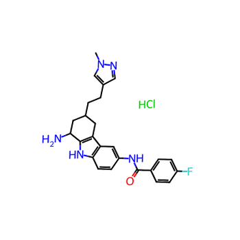 Cl.Cn1cc(CCC2Cc3c([nH]c4ccc(NC(=O)c5ccc(F)cc5)cc34)C(N)C2)cn1